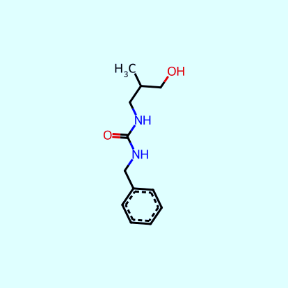 CC(CO)CNC(=O)NCc1ccccc1